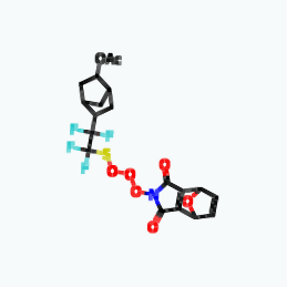 CC(=O)OC1CC2CC1CC2C(F)(F)C(F)(F)SOOON1C(=O)C2=C(C1=O)C1C=CC2O1